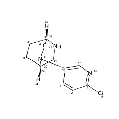 Clc1ccc(N2C[C@@H]3CC[C@H]2CN3)cn1